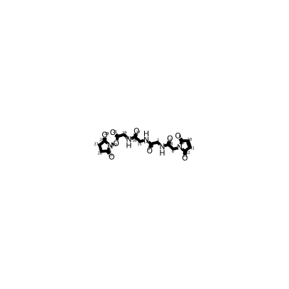 O=C(CNC(=O)CN1C(=O)C=CC1=O)NCC(=O)NCC(=O)ON1C(=O)CCC1=O